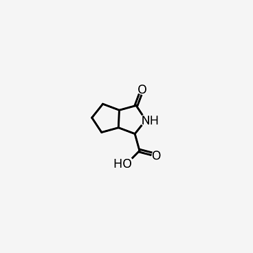 O=C1NC(C(=O)O)C2CCCC12